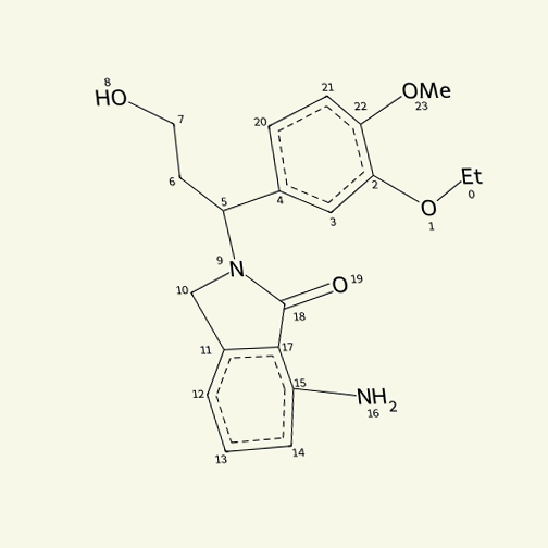 CCOc1cc(C(CCO)N2Cc3cccc(N)c3C2=O)ccc1OC